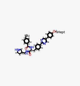 CCCCCCCOc1ccc(-c2cnc(-c3ccc(C[C@H](NC(=O)c4ccc(C(C)(C)C)cc4)C(=O)NCC4CCNC4)cc3)nc2)cc1